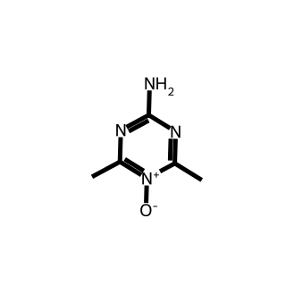 Cc1nc(N)nc(C)[n+]1[O-]